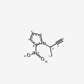 C#CC(I)n1cccc1[N+](=O)[O-]